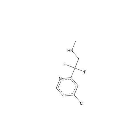 CNCC(F)(F)c1cc(Cl)ccn1